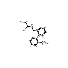 COc1ccccc1-c1ncccc1COC(I)CI